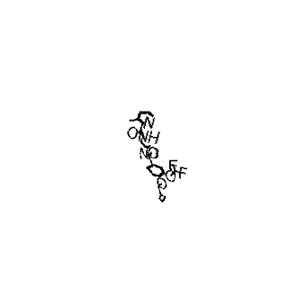 Cc1cccnc1C(=O)NCc1coc(-c2ccc(OCC3CCC3)c(OC(F)F)c2)n1